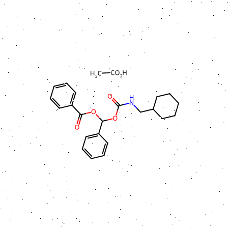 CC(=O)O.O=C(NCC1CCCCC1)OC(OC(=O)c1ccccc1)c1ccccc1